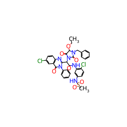 CCOC1C(=O)N(C(C(=O)Nc2cc(NS(C)(=O)=O)ccc2Cl)c2nc3ccc(Cl)cc3c(=O)n2-c2ccccc2)C(=O)N1Cc1ccccc1